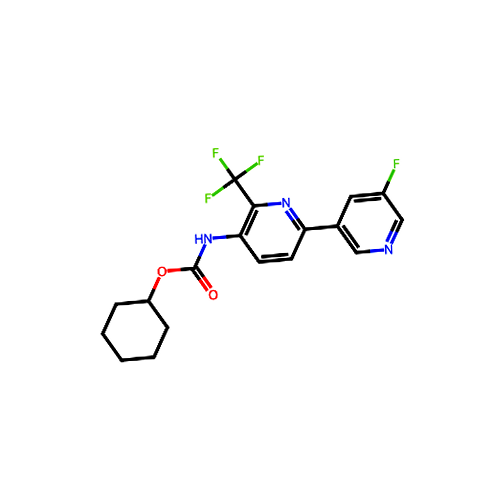 O=C(Nc1ccc(-c2cncc(F)c2)nc1C(F)(F)F)OC1CCCCC1